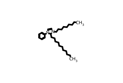 CCCCCCCCCCCC1N(CCCCCCCCC)C=CN1c1ccccc1